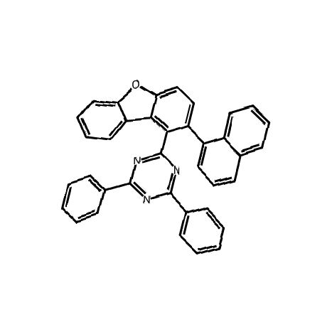 c1ccc(-c2nc(-c3ccccc3)nc(-c3c(-c4cccc5ccccc45)ccc4oc5ccccc5c34)n2)cc1